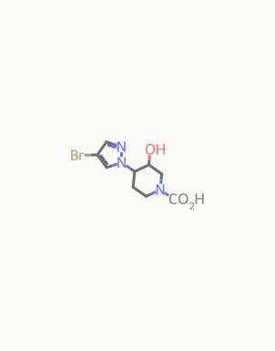 O=C(O)N1CCC(n2cc(Br)cn2)C(O)C1